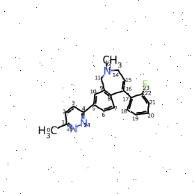 Cc1ccc(-c2ccc3c(c2)CN(C)CC=C3c2ccccc2F)nn1